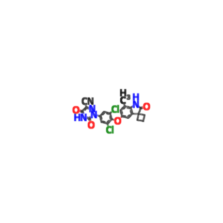 Cc1cc(Oc2c(Cl)cc(-n3nc(C#N)c(=O)[nH]c3=O)cc2Cl)cc2c1NC(=O)C21CCC1